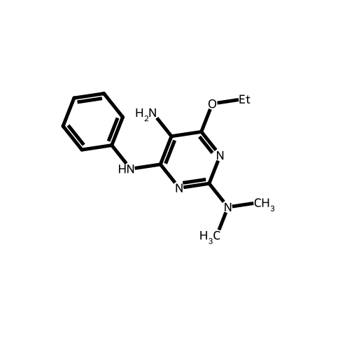 CCOc1nc(N(C)C)nc(Nc2ccccc2)c1N